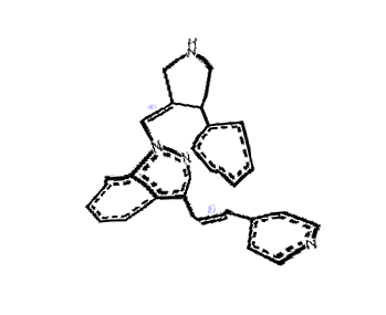 C(=C\c1nn(/C=C2/CNCC2c2ccccc2)c2ccccc12)/c1ccncc1